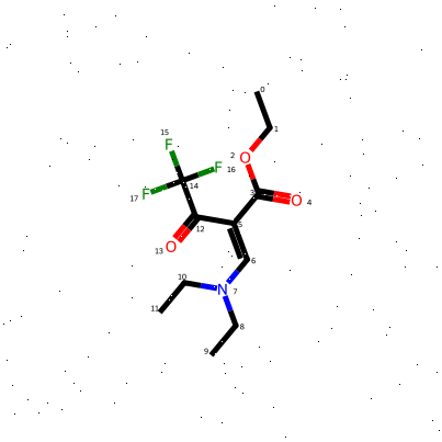 CCOC(=O)C(=CN(CC)CC)C(=O)C(F)(F)F